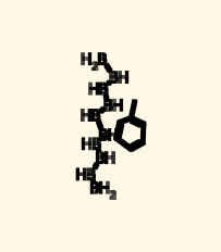 BBBBBBBBBB.Cc1ccccc1